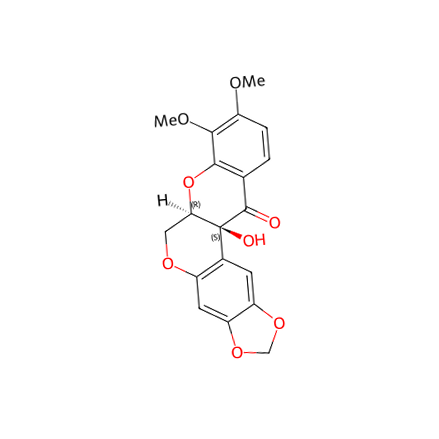 COc1ccc2c(c1OC)O[C@@H]1COc3cc4c(cc3[C@@]1(O)C2=O)OCO4